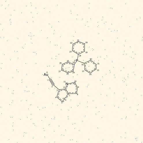 [Au][C]#Cc1cccc2cccnc12.c1ccc(P(c2ccccc2)c2ccccc2)cc1